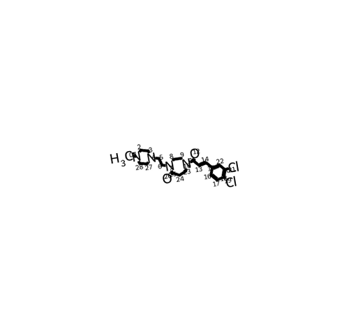 CN1CCN(CCN2CCN(C(=O)C=Cc3ccc(Cl)c(Cl)c3)CCC2=O)CC1